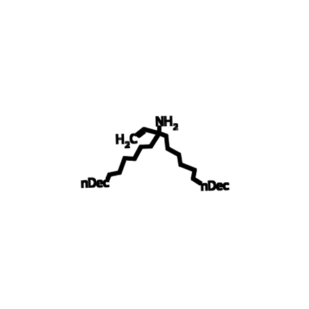 C=CC(N)(CCCCCCCCCCCCCCCC)CCCCCCCCCCCCCCCC